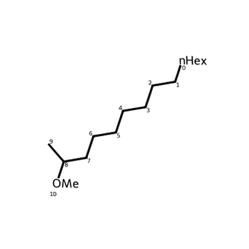 CCCCCCCCCCCCCC(C)OC